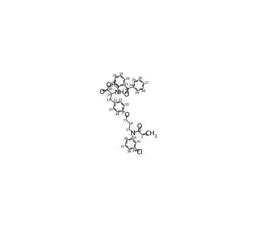 C=CC(=O)N(CCCOc1ccc(CC(Nc2ccccc2C(=O)c2ccccc2)C(=O)O)cc1)c1cccc(Cl)c1